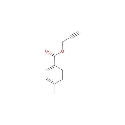 C#CCOC(=O)c1ccc(C)cc1